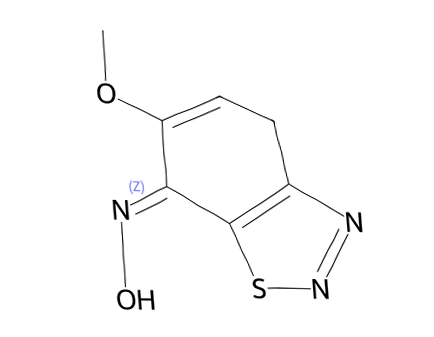 COC1=CCc2nnsc2/C1=N\O